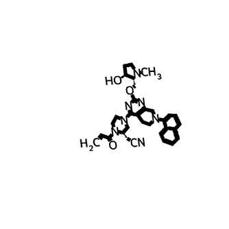 C=CC(=O)N1CCN(c2nc(OC[C@@H]3[C@@H](O)CCN3C)nc3c2CCN(c2cccc4ccccc24)C3)C[C@@H]1CC#N